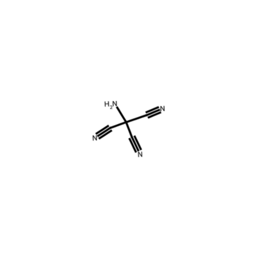 N#CC(N)(C#N)C#N